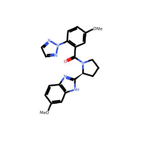 COc1ccc(-n2nccn2)c(C(=O)N2CCC[C@H]2c2nc3ccc(OC)cc3[nH]2)c1